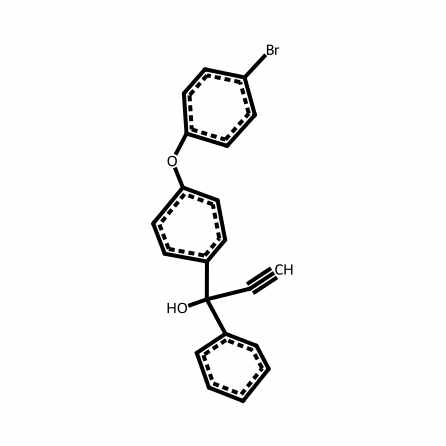 C#CC(O)(c1ccccc1)c1ccc(Oc2ccc(Br)cc2)cc1